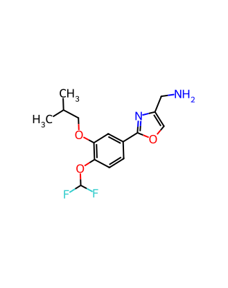 CC(C)COc1cc(-c2nc(CN)co2)ccc1OC(F)F